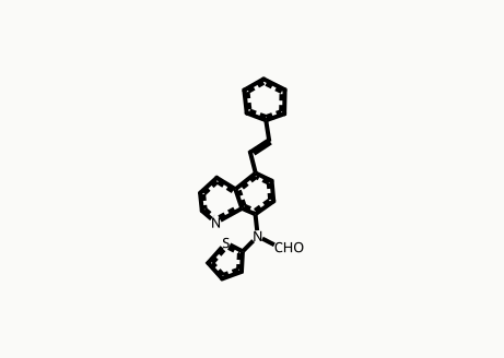 O=CN(c1cccs1)c1ccc(C=Cc2ccccc2)c2cccnc12